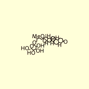 CO[C@]1(CC[C@H](C)CO[C@@H]2O[C@H](CO)[C@@H](O)[C@H](O)[C@H]2O)O[C@H]2C[C@H]3[C@@H]4CC[C@H]5CC(=O)CC[C@]5(C)[C@H]4CC[C@]3(C)[C@H]2[C@@H]1C